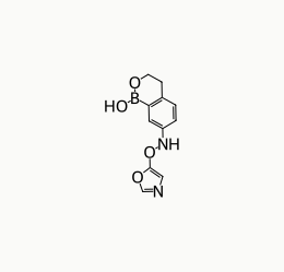 OB1OCCc2ccc(NOc3cnco3)cc21